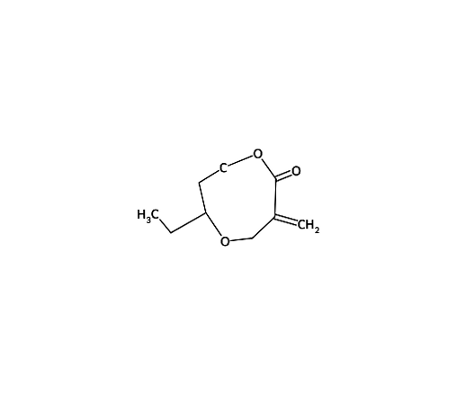 C=C1COC(CC)CCOC1=O